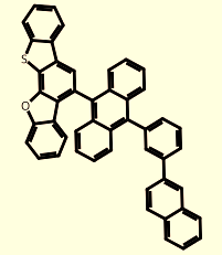 c1cc(-c2ccc3ccccc3c2)cc(-c2c3ccccc3c(-c3cc4c5ccccc5sc4c4oc5ccccc5c34)c3ccccc23)c1